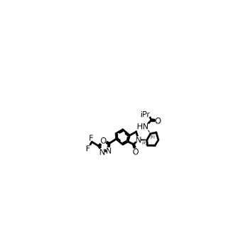 CC(C)C(=O)N[C@@H]1CCCC[C@H]1N1Cc2ccc(-c3nnc(C(F)F)o3)cc2C1=O